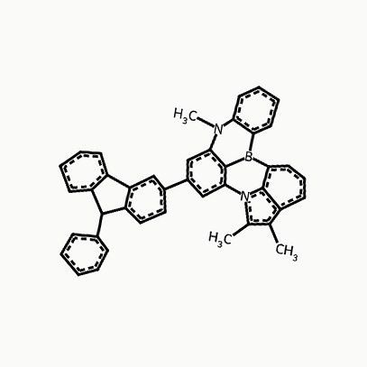 Cc1c(C)n2c3c(cccc13)B1c3ccccc3N(C)c3cc(-c4ccc5c(c4)-c4ccccc4C5c4ccccc4)cc-2c31